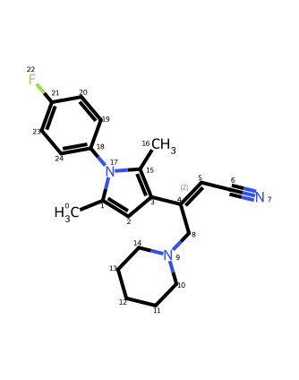 Cc1cc(/C(=C/C#N)CN2CCCCC2)c(C)n1-c1ccc(F)cc1